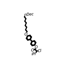 CCCCCCCCCCCCCCCCCCOc1ccc(-c2ccc(OC(=O)C(Cl)C(C)C)cc2)cc1